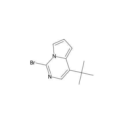 CC(C)(C)c1cnc(Br)n2cccc12